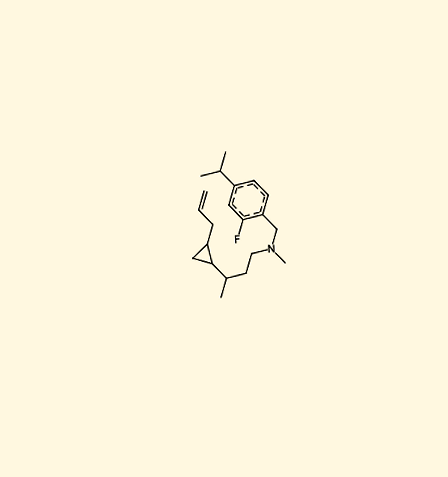 C=CCC1CC1C(C)CCN(C)Cc1ccc(C(C)C)cc1F